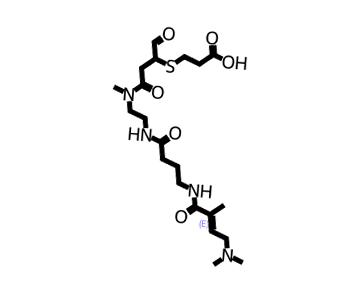 C/C(=C\CN(C)C)C(=O)NCCCC(=O)NCCN(C)C(=O)CC(C=O)SCCC(=O)O